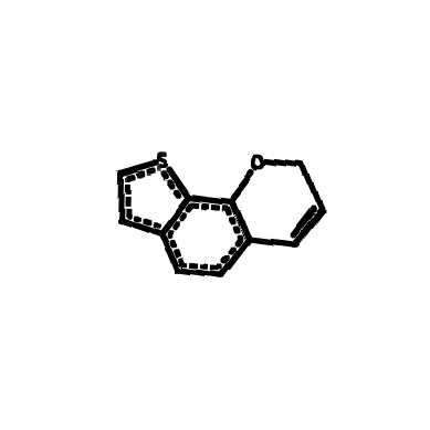 C1=Cc2ccc3ccsc3c2OC1